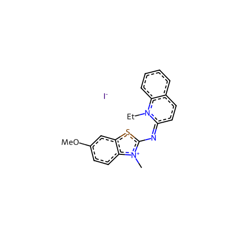 CCn1c(=Nc2sc3cc(OC)ccc3[n+]2C)ccc2ccccc21.[I-]